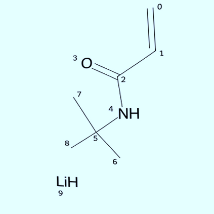 C=CC(=O)NC(C)(C)C.[LiH]